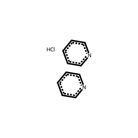 Cl.c1ccncc1.c1ccncc1